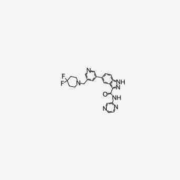 O=C(Nc1cnccn1)c1n[nH]c2ccc(-c3cncc(CN4CCC(F)(F)CC4)c3)cc12